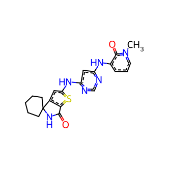 Cn1cccc(Nc2cc(Nc3cc4c(s3)C(=O)NC43CCCCC3)ncn2)c1=O